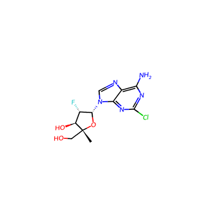 C[C@]1(CO)O[C@@H](n2cnc3c(N)nc(Cl)nc32)[C@@H](F)[C@@H]1O